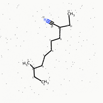 CCC(C)CCCCCC(C#N)CC